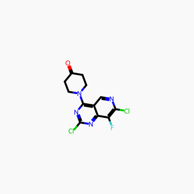 O=C1CCN(c2nc(Cl)nc3c(F)c(Cl)ncc23)CC1